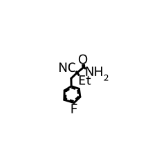 CCC(C#N)(Cc1ccc(F)cc1)C(N)=O